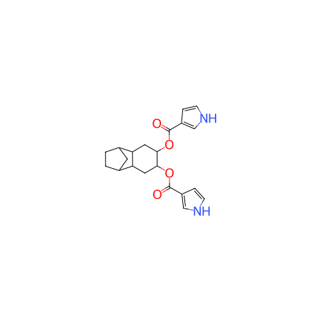 O=C(OC1CC2C3CCC(C3)C2CC1OC(=O)c1cc[nH]c1)c1cc[nH]c1